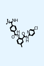 Cc1ccc(NC(=O)c2ccc(C(=N)N(C)C)cc2)c(C(=O)Nc2ccc(Cl)cn2)c1